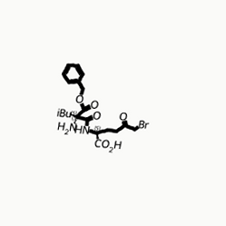 CC[C@H](C)[C@](N)(C(=O)N[C@@H](CCC(=O)CBr)C(=O)O)C(=O)OCc1ccccc1